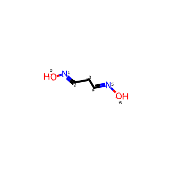 ON=[C]CC=NO